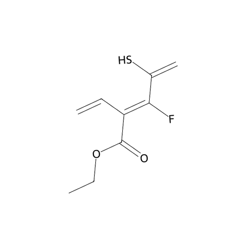 C=C/C(C(=O)OCC)=C(/F)C(=C)S